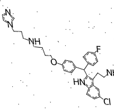 NCCc1c(C(c2ccc(F)cc2)c2ccc(OCCCCNCCCn3ccnc3)cc2)[nH]c2ccc(Cl)cc12